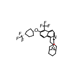 N#CC1CC2CCCC(C1)N2CCc1cccc2c(C(F)(F)F)c(O[C@H]3CC[C@@H](C(F)(F)F)CC3)ccc12